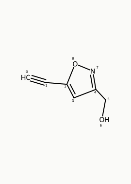 C#Cc1cc(CO)no1